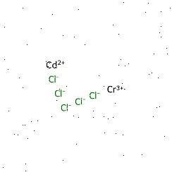 [Cd+2].[Cl-].[Cl-].[Cl-].[Cl-].[Cl-].[Cr+3]